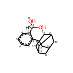 O[SiH](O)c1ccccc1C12CC3CC(CC(C3)C1)C2